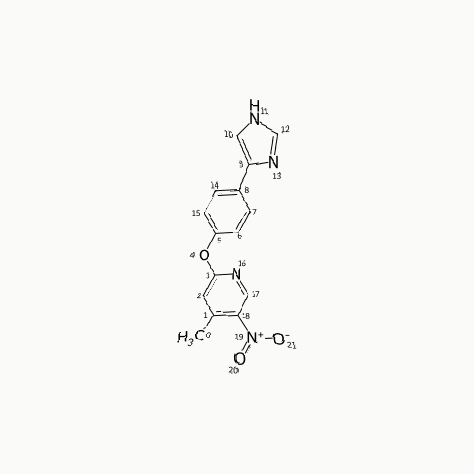 Cc1cc(Oc2ccc(-c3c[nH]cn3)cc2)ncc1[N+](=O)[O-]